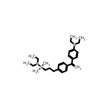 C=C(c1ccc(CCC[Si](C)(C)N(CC)CC)cc1)c1ccc(N(CC)CC)cc1